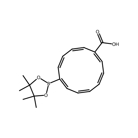 CC1(C)OB(C2=C/C=C\C=C/C=C(C(=O)O)\C=C/C=C\2)OC1(C)C